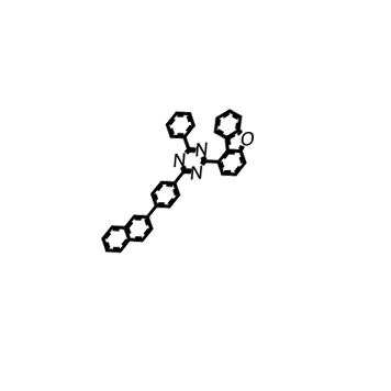 c1ccc(-c2nc(-c3ccc(-c4ccc5ccccc5c4)cc3)nc(-c3cccc4oc5ccccc5c34)n2)cc1